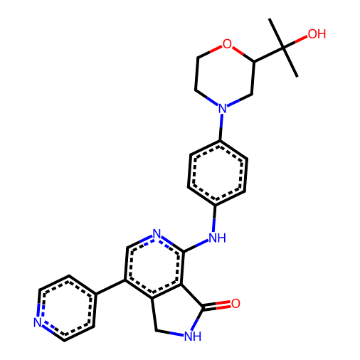 CC(C)(O)C1CN(c2ccc(Nc3ncc(-c4ccncc4)c4c3C(=O)NC4)cc2)CCO1